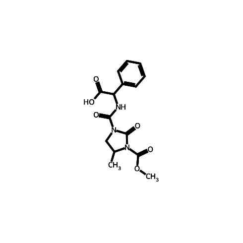 COC(=O)N1C(=O)N(C(=O)NC(C(=O)O)c2ccccc2)CC1C